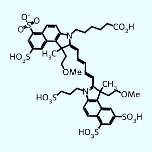 COCCC1(C)C(/C=C/C=C/C=C2/N(CCCCCC(=O)O)c3ccc4c(S(=O)(=O)[O-])cc(S(=O)(=O)O)cc4c3C2(C)CCOC)=[N+](CCCS(=O)(=O)O)c2ccc3c(S(=O)(=O)O)cc(S(=O)(=O)O)cc3c21